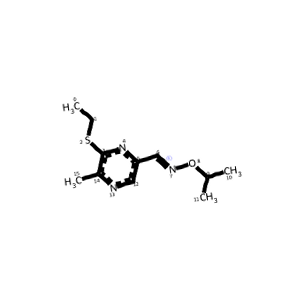 CCSc1nc(/C=N/OC(C)C)cnc1C